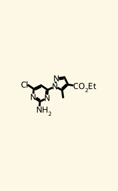 CCOC(=O)c1cnn(-c2cc(Cl)nc(N)n2)c1C